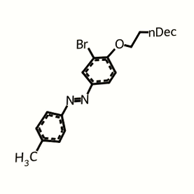 CCCCCCCCCCCCOc1ccc(N=Nc2ccc(C)cc2)cc1Br